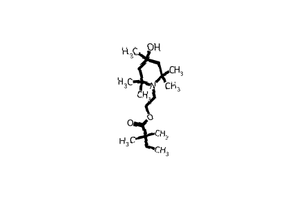 CCC(C)(C)C(=O)OCCN1C(C)(C)CC(C)(O)CC1(C)C